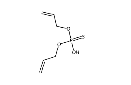 C=CCOP(O)(=S)OCC=C